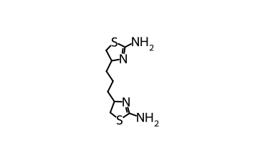 NC1=NC(CCCC2CSC(N)=N2)CS1